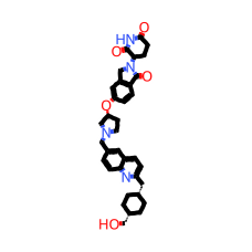 O=C1CCC(N2Cc3cc(O[C@H]4CCN(Cc5ccc6nc(C[C@H]7CC[C@@H](CO)CC7)ccc6c5)C4)ccc3C2=O)C(=O)N1